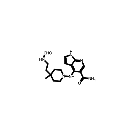 CC1(CCNC=O)CCN(Nc2c(C(N)=O)cnc3[nH]ccc23)CC1